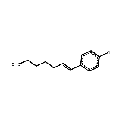 O=CCCCCC=Cc1ccc(Cl)cc1